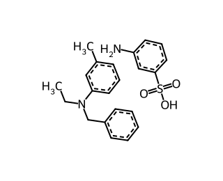 CCN(Cc1ccccc1)c1cccc(C)c1.Nc1cccc(S(=O)(=O)O)c1